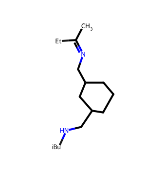 CC/C(C)=N\CC1CCCC(CNC(C)CC)C1